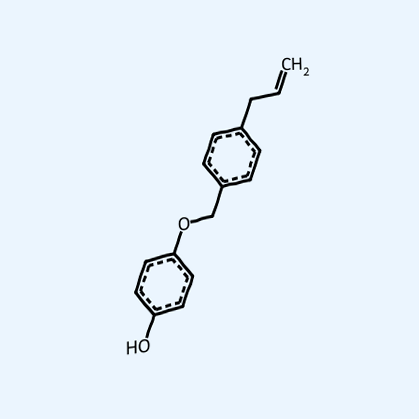 C=CCc1ccc(COc2ccc(O)cc2)cc1